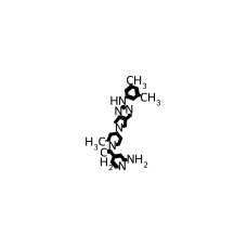 C=C(c1ccnc(N)c1)N1CC[C@@H](N2Cc3cnc(Nc4cc(C)cc(C)c4)nc3C2)C[C@H]1C